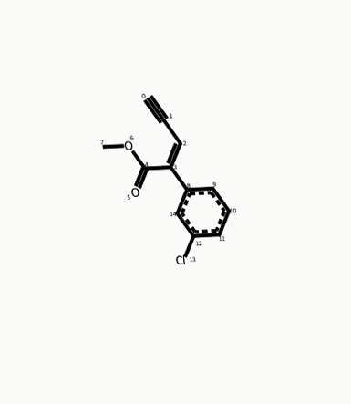 C#C/C=C(\C(=O)OC)c1cccc(Cl)c1